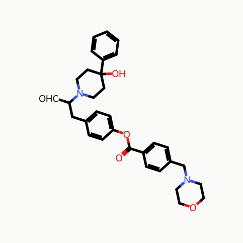 O=CC(Cc1ccc(OC(=O)c2ccc(CN3CCOCC3)cc2)cc1)N1CCC(O)(c2ccccc2)CC1